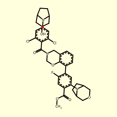 COC(=O)c1cc(F)c(-c2cccc3c2OCN(C(=O)c2c(Cl)cc(N4C5CCC4CC(O)C5)cc2Cl)C3)cc1N1C2CCC1COC2